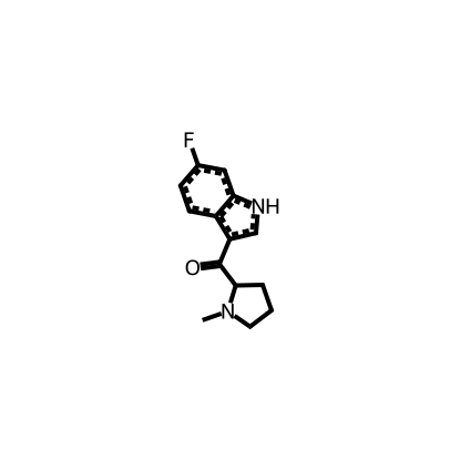 CN1CCCC1C(=O)c1c[nH]c2cc(F)ccc12